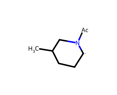 CC(=O)N1[CH]CCC(C)C1